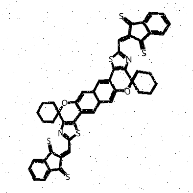 S=C1C(=Cc2nc3c(s2)C2=CC4C=C5OC6(CCCCC6)c6nc(C=C7C(=S)c8ccccc8C7=S)sc6C5=CC4C=C2OC32CCCCC2)C(=S)c2ccccc21